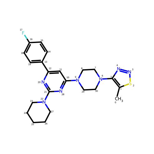 Cc1snnc1N1CCN(c2cc(-c3ccc(F)cc3)nc(N3CCCCC3)n2)CC1